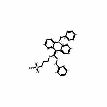 O=S(=O)(O)CCCSC(SCc1ccccc1)=C1c2ccccc2N(Cc2ccccc2)c2ccccc21